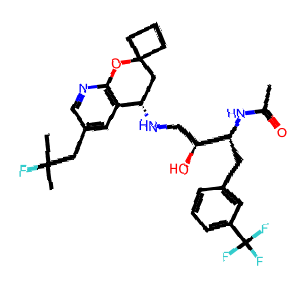 CC(=O)N[C@@H](Cc1cccc(C(F)(F)F)c1)[C@@H](O)CN[C@H]1CC2(CCC2)Oc2ncc(CC(C)(C)F)cc21